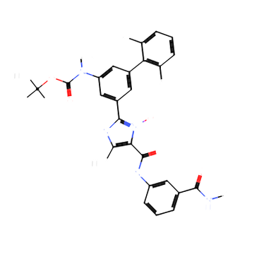 CNC(=O)c1cccc(NC(=O)c2c(C)[nH]c(-c3cc(-c4c(C)cccc4C)cc(N(C)C(=O)OC(C)(C)C)c3)[n+]2[O-])c1